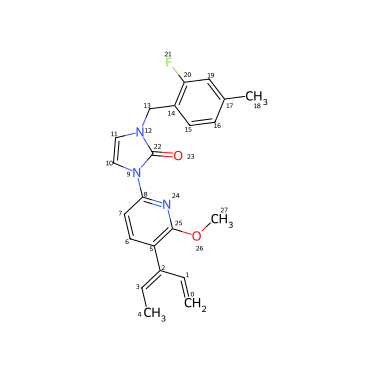 C=C/C(=C\C)c1ccc(-n2ccn(Cc3ccc(C)cc3F)c2=O)nc1OC